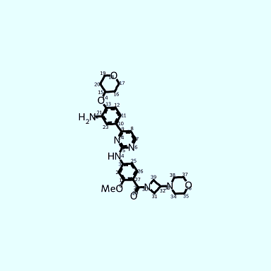 COc1cc(Nc2nccc(-c3ccc(OC4CCOCC4)c(N)c3)n2)ccc1C(=O)N1CC(N2CCOCC2)C1